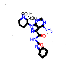 CC(C)(C)[C@@H]1C(n2nc(C(=O)Nc3nc4ccccc4o3)c3c(N)ncnc32)CCCN1C(=O)O